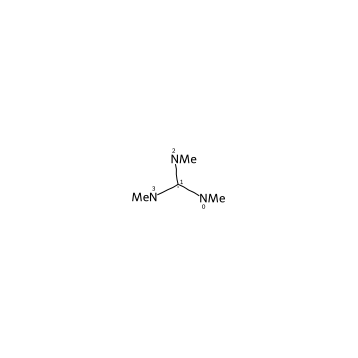 CN[C](NC)NC